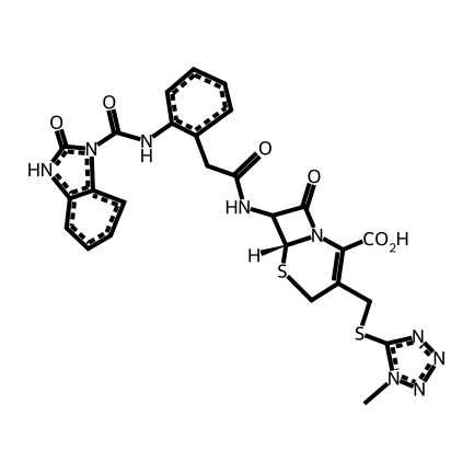 Cn1nnnc1SCC1=C(C(=O)O)N2C(=O)C(NC(=O)Cc3ccccc3NC(=O)n3c(=O)[nH]c4ccccc43)[C@H]2SC1